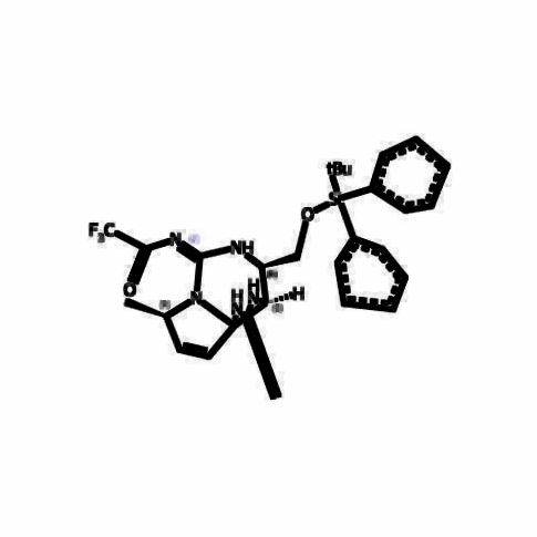 C=C1N[C@H]2[C@H](CO[Si](c3ccccc3)(c3ccccc3)C(C)(C)C)N/C(=N/C(=O)C(F)(F)F)N3[C@H](C)C=CC23N1